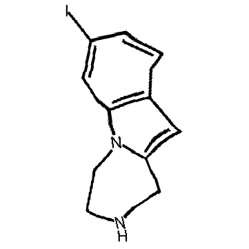 Ic1ccc2cc3n(c2c1)CCNC3